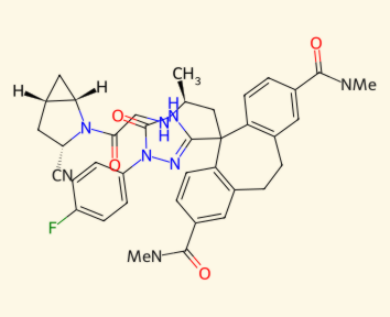 CNC(=O)c1ccc2c(c1)CCc1cc(C(=O)NC)ccc1C2(C[C@H](C)NCC(=O)N1[C@H](C#N)C[C@@H]2C[C@@H]21)c1nn(-c2ccc(F)cc2)c(=O)[nH]1